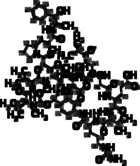 CC[C@H](C)[C@@H]([C@@H](CC(=O)N1CCC[C@H]1C[C@@H](C)C(=O)N[C@H](C)[C@@H](O)c1ccccc1)OC)N(C)C(=O)[C@@H](NC(=O)[C@H](C(C)C)N(C)C(=O)OCc1ccc(NC(=O)[C@H](CCCNC(N)=O)NC(=O)[C@@H](NC(=O)[C@H](CCC(=O)O)NC(=O)CCOCCC(=O)C(C)C)C(C)C)c(O[C@@H]2O[C@H](CO)[C@@H](O)[C@H](O)[C@H]2O)c1)C(C)C